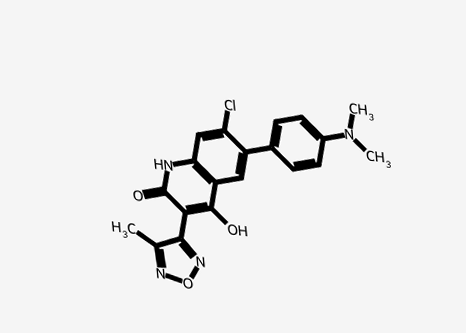 Cc1nonc1-c1c(O)c2cc(-c3ccc(N(C)C)cc3)c(Cl)cc2[nH]c1=O